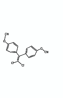 N#COc1ccc(C(=C(Cl)Cl)c2ccc(OC#N)cc2)cc1